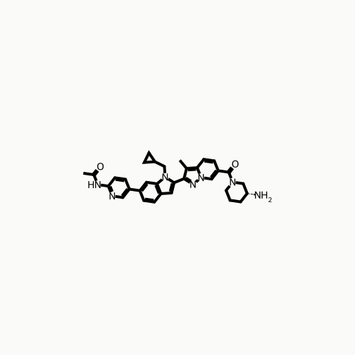 CC(=O)Nc1ccc(-c2ccc3cc(-c4nn5cc(C(=O)N6CCC[C@@H](N)C6)ccc5c4C)n(CC4CC4)c3c2)cn1